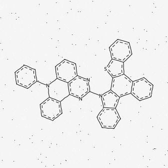 c1ccc(N2c3ccccc3-c3nc(-n4c5ccccc5c5c6ccccc6c6c7ccccc7sc6c54)nc4cccc2c34)cc1